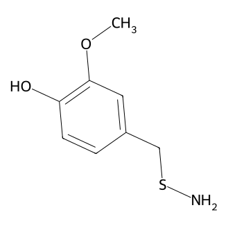 COc1cc(CSN)ccc1O